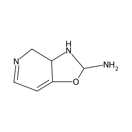 NC1NC2CN=CC=C2O1